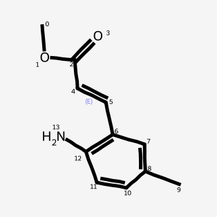 COC(=O)/C=C/c1cc(C)ccc1N